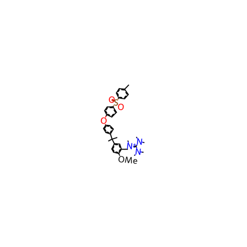 COc1ccc(C(C)(C)c2ccc(Oc3ccc(S(=O)(=O)c4ccc(C)cc4)cc3)cc2)cc1C[N+](C)=C(N(C)C)N(C)C